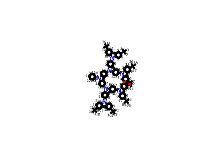 CC(C)(C)c1ccc2c(c1)c1cc(C(C)(C)C)ccc1n2-c1ccc2c(c1)c1cc(-n3c4ccc(C(C)(C)C)cc4c4cc(C(C)(C)C)ccc43)ccc1n2-c1ccc2c(c1)c1cc(-n3c4ccc(-n5c6ccc(C(C)(C)C)cc6c6cc(C(C)(C)C)ccc65)cc4c4cc(-n5c6ccc(C(C)(C)C)cc6c6cc(C(C)(C)C)ccc65)ccc43)ccc1n2-c1ccccc1